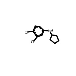 Clc1ccc(NC2CCCC2)cc1Cl